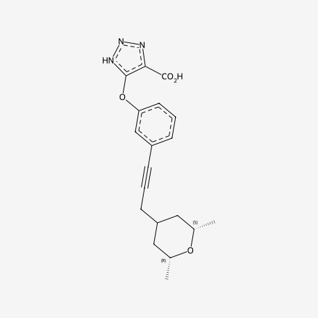 C[C@@H]1CC(CC#Cc2cccc(Oc3[nH]nnc3C(=O)O)c2)C[C@H](C)O1